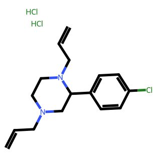 C=CCN1CCN(CC=C)C(c2ccc(Cl)cc2)C1.Cl.Cl